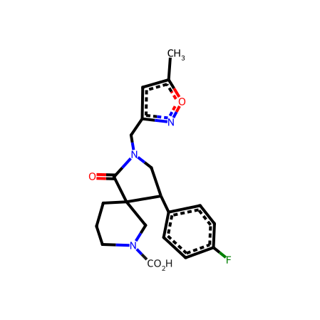 Cc1cc(CN2CC(c3ccc(F)cc3)C3(CCCN(C(=O)O)C3)C2=O)no1